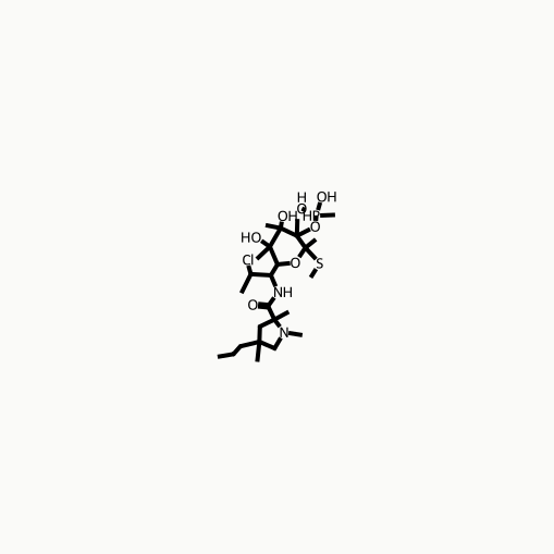 CCCC1(C)CN(C)C(C)(C(=O)NC(C(C)Cl)C2OC(C)(SC)C(C)(O[PH](C)(O)O)C(C)(O)C2(C)O)C1